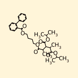 CC(C)OC(=O)C(C)C(C(=O)OC(C)C)C(C)C(=O)OCCCCOC(=O)c1ccccc1-c1ccccc1